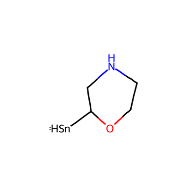 [SnH][CH]1CNCCO1